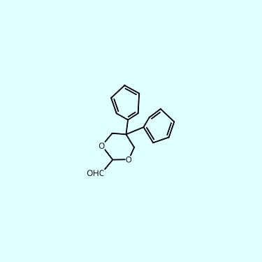 O=CC1OCC(c2ccccc2)(c2ccccc2)CO1